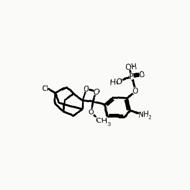 COC1(c2ccc(N)c(OP(=O)(O)O)c2)OOC12C1CC3CC2CC(Cl)(C3)C1